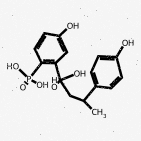 CC(CC(O)(O)c1cc(O)ccc1P(=O)(O)O)c1ccc(O)cc1